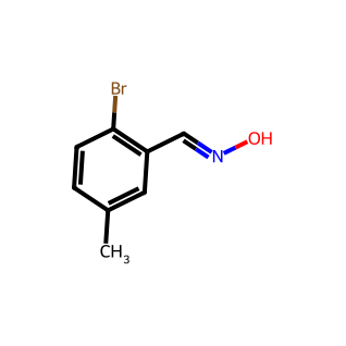 Cc1ccc(Br)c(C=NO)c1